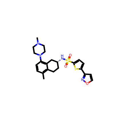 Cc1ccc(N2CCN(C)CC2)c2c1CC[C@@H](NS(=O)(=O)c1ccc(-c3ccon3)s1)C2